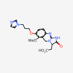 COc1c(OCCCn2ccnc2)ccc2c1CN1C(=N2)NC(=O)C1CC(=O)O